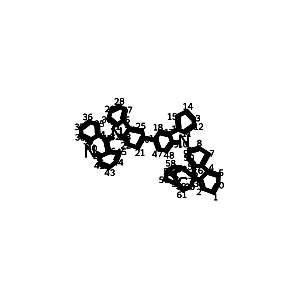 c1ccc2c(c1)-c1ccc(-n3c4ccccc4c4cc(-c5ccc6c(c5)c5ccccc5n6-c5c6ccccc6nc6ccccc56)ccc43)cc1C21C2CC3CC(C2)CC1C3